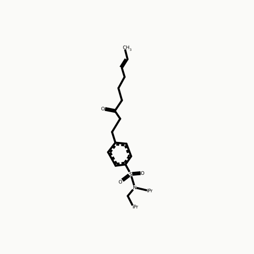 C/C=C/CCCC(=O)CCc1ccc(S(=O)(=O)N(CC(C)C)C(C)C)cc1